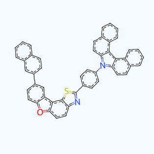 c1ccc2cc(-c3ccc4oc5ccc6nc(-c7ccc(-n8c9ccc%10ccccc%10c9c9c%10ccccc%10ccc98)cc7)sc6c5c4c3)ccc2c1